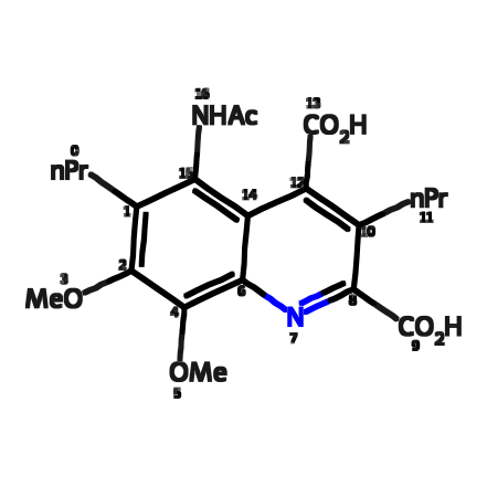 CCCc1c(OC)c(OC)c2nc(C(=O)O)c(CCC)c(C(=O)O)c2c1NC(C)=O